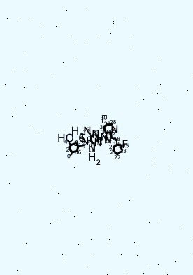 Cc1cc(C)cc(CN(C(=O)O)c2c(N)nc(-n3nc(Cc4ccccc4F)c4ncc(F)cc43)nc2N)c1